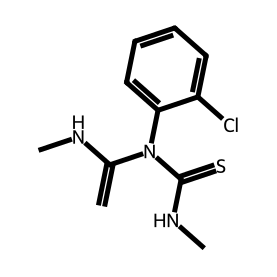 C=C(NC)N(C(=S)NC)c1ccccc1Cl